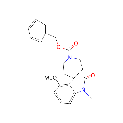 COc1cccc2c1C1(CCN(C(=O)OCc3ccccc3)CC1)C(=O)N2C